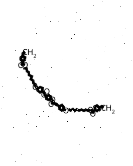 C=Cc1ccc(C(=O)OCCCCCCCCCCOc2ccc(C#CC(=O)Oc3ccc(OC(=O)C4CCC(OCCCCCCCCCCOC(=O)c5ccc(C=C)cc5)CC4)cc3)cc2)cc1